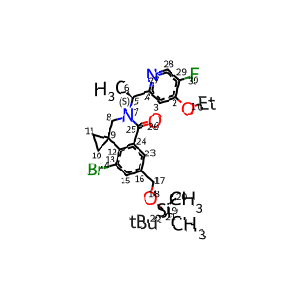 CCOc1cc([C@H](C)N2CC3(CC3)c3c(Br)cc(CO[Si](C)(C)C(C)(C)C)cc3C2=O)ncc1F